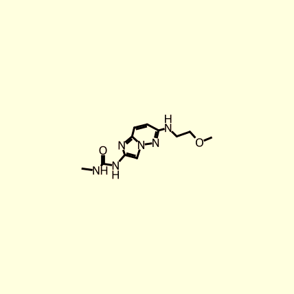 CNC(=O)Nc1cn2nc(NCCOC)ccc2n1